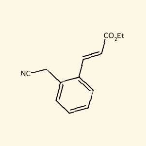 CCOC(=O)C=Cc1ccccc1CC#N